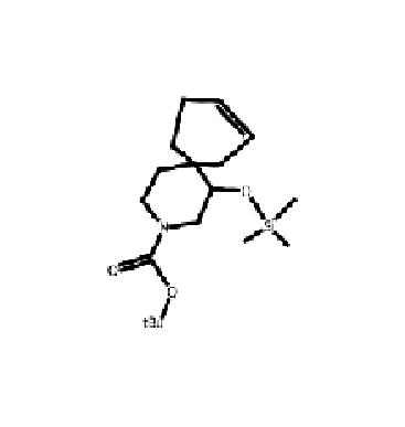 CC(C)(C)OC(=O)N1CCC2(CC=CCC2)C(O[Si](C)(C)C)C1